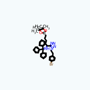 CC1(C)OB(CCCCC(NC(c2ccccc2)(c2ccccc2)c2ccccc2)c2nnnn2CCc2ccc(Br)cc2)OC1(C)C